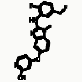 Cn1c(Nc2cc(CF)ccc2F)nc2cc(Oc3ccnc(C#N)c3)ccc21